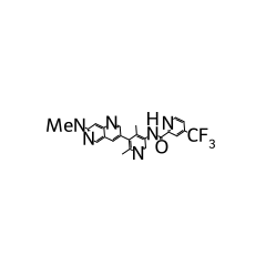 CNc1cc2ncc(-c3c(C)ncc(NC(=O)c4cc(C(F)(F)F)ccn4)c3C)cc2cn1